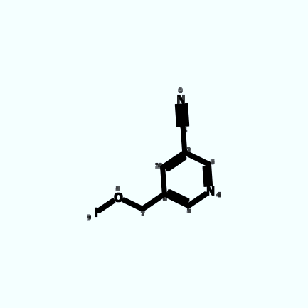 N#Cc1cncc(COI)c1